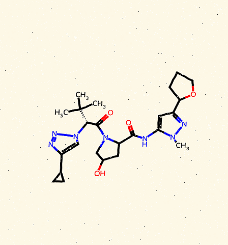 Cn1nc(C2CCCO2)cc1NC(=O)C1CC(O)CN1C(=O)[C@H](n1cc(C2CC2)nn1)C(C)(C)C